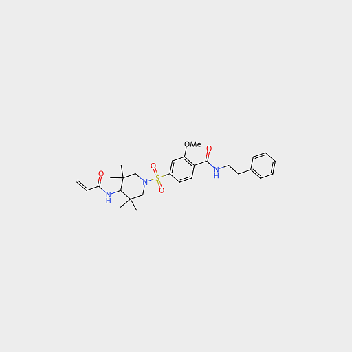 C=CC(=O)NC1C(C)(C)CN(S(=O)(=O)c2ccc(C(=O)NCCc3ccccc3)c(OC)c2)CC1(C)C